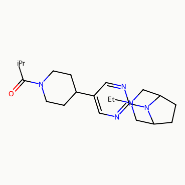 CCN1CC2CCC(C1)N2c1ncc(C2CCN(C(=O)C(C)C)CC2)cn1